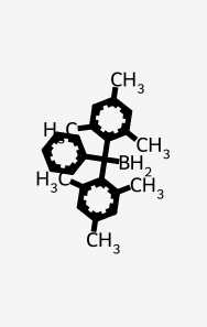 BC(c1ccccc1)(c1c(C)cc(C)cc1C)c1c(C)cc(C)cc1C